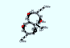 CCCCOc1c2cccc1C(=O)NCCN(CCOCCOCCOC)CCNC(=O)c1cccc(c1OCCCC)C(=O)NCCN1CCNC(=O)c3cccc(c3OCCCC)C(=O)NCCN(CCOCCOCCOC)CCNC(=O)c3cccc(c3OCCCC)C(=O)NC(CCCCNC(=O)OC(C)(C)C)CN(CCC2=O)CC1